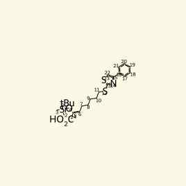 CC(C)(C)[Si](C)(C)OC(=CCCCCCSc1nc(-c2ccccc2)cs1)C(=O)O